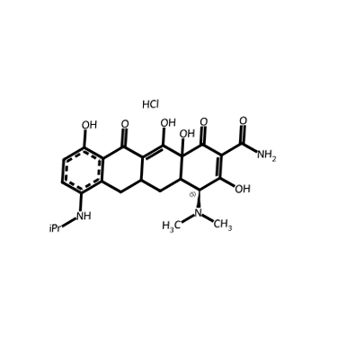 CC(C)Nc1ccc(O)c2c1CC1CC3[C@H](N(C)C)C(O)=C(C(N)=O)C(=O)C3(O)C(O)=C1C2=O.Cl